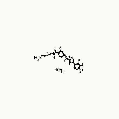 CCc1cc(NC(=O)c2ncc(-c3ccc(OC)c(F)c3F)n2C)ccc1C(=O)NCCOCCN.O=CO